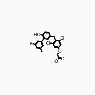 Cc1cc(F)cc(-c2cc(Cc3c(Cl)cc(OCC(=O)O)cc3Cl)ccc2O)c1